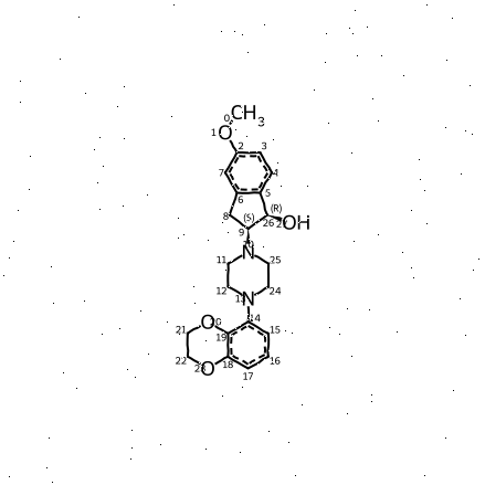 COc1ccc2c(c1)C[C@H](N1CCN(c3cccc4c3OCCO4)CC1)[C@@H]2O